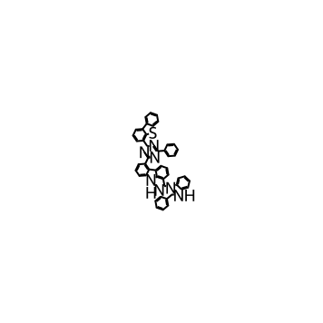 c1ccc(-c2nc(-c3cccc4c3sc3ccccc34)nc(-c3cccc4[nH]c5c(C6=Nc7ccccc7C7Nc8ccccc8N67)cccc5c34)n2)cc1